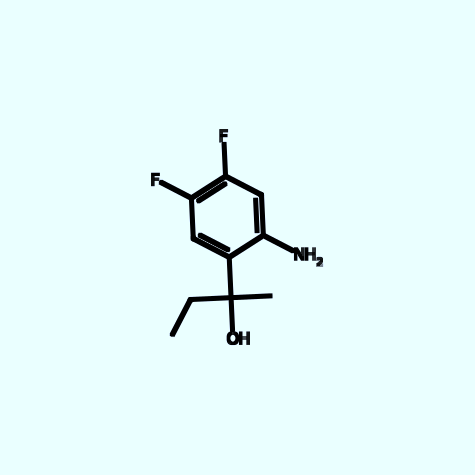 CCC(C)(O)c1cc(F)c(F)cc1N